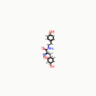 O=C(NCCc1ccc(O)cc1)/C(Cc1ccc(O)cc1)=N/O